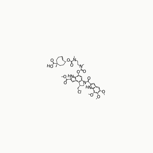 COC(=O)c1cc2c3c(cc(OC(=O)N(C)CCN(C)C(=O)O[C@H]4/C=C/CC[C@@](C)(C(=O)O)CC4)c2[nH]1)N(C(=O)c1cc2cc(OC)c(OC)c(OC)c2[nH]1)C[C@H]3CCl